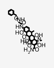 CC1c2ccc(NC(=O)CNOCc3ccccc3)c(O)c2C(=O)C2=C(O)[C@]3(O)C(=O)C(C(N)=O)=C(O)[C@@H](N(C)C)C3C(O)C21